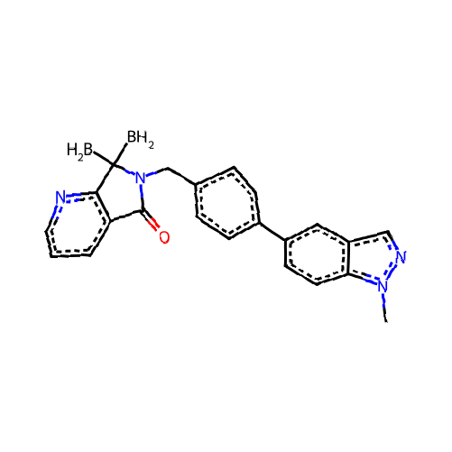 BC1(B)c2ncccc2C(=O)N1Cc1ccc(-c2ccc3c(cnn3C)c2)cc1